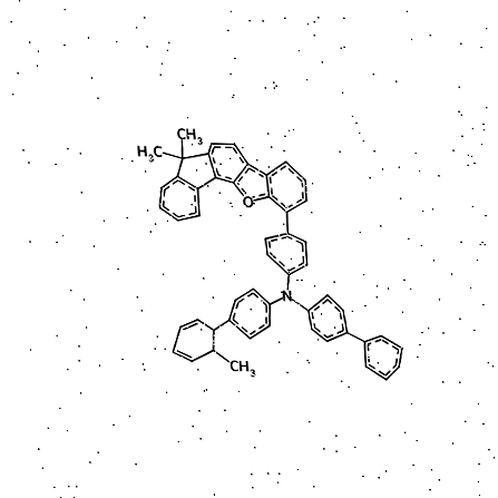 CC1C=CC=CC1c1ccc(N(c2ccc(-c3ccccc3)cc2)c2ccc(-c3cccc4c3oc3c5c(ccc34)C(C)(C)c3ccccc3-5)cc2)cc1